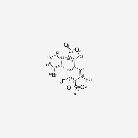 CS(=O)(=O)c1c(F)cc(C2=C(c3cccc(Br)c3)C(=O)OC2)cc1F